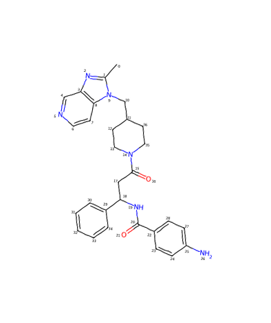 Cc1nc2cnccc2n1CC1CCN(C(=O)CC(NC(=O)c2ccc(N)cc2)c2ccccc2)CC1